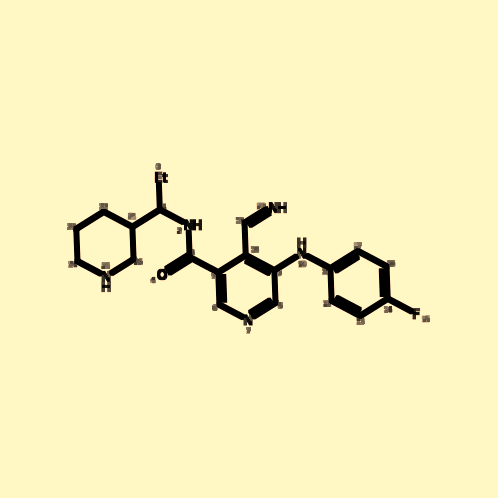 CCC(NC(=O)c1cncc(Nc2ccc(F)cc2)c1C=N)C1CCCNC1